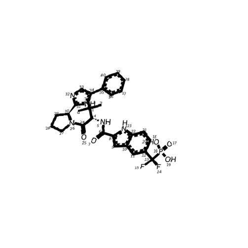 CC(C)(C)[C@H](NC(=O)c1cc2cc(C(F)(F)P(=O)(O)O)ccc2[nH]1)C(=O)N1CCC[C@H]1c1ncc(-c2ccccc2)[nH]1